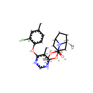 Cc1ccc(Oc2ncnc(O[C@H]3CC4CC[C@@H](C3)N4C(=O)OC(C)(C)C)c2C)c(F)c1